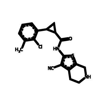 Cc1cccc(C2CC2C(=O)Nc2sc3c(c2C#N)CCNC3)c1Cl